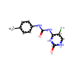 Cc1ccc(NC(=O)Nc2nc(=O)[nH]cc2F)cc1